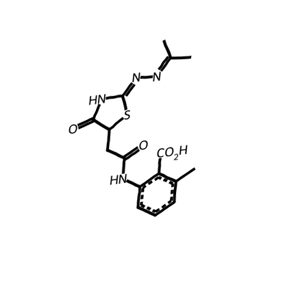 CC(C)=NN=C1NC(=O)C(CC(=O)Nc2cccc(C)c2C(=O)O)S1